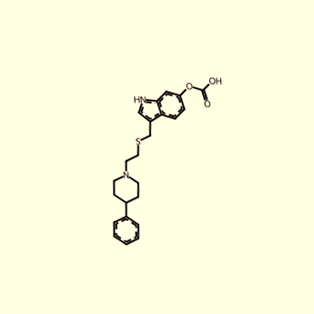 O=C(O)Oc1ccc2c(CSCCN3CCC(c4ccccc4)CC3)c[nH]c2c1